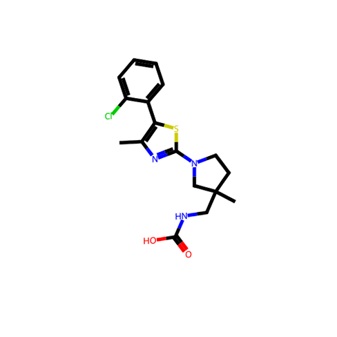 Cc1nc(N2CCC(C)(CNC(=O)O)C2)sc1-c1ccccc1Cl